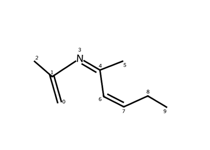 C=C(C)/N=C(C)\C=C/CC